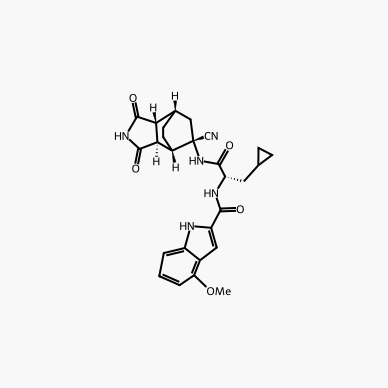 COc1cccc2[nH]c(C(=O)N[C@@H](CC3CC3)C(=O)N[C@@]3(C#N)C[C@@H]4CC[C@H]3[C@H]3C(=O)NC(=O)[C@H]43)cc12